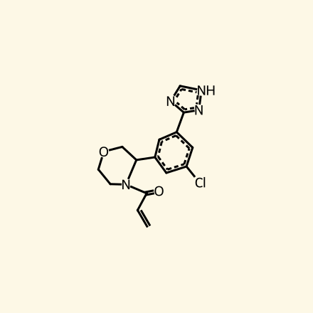 C=CC(=O)N1CCOCC1c1cc(Cl)cc(-c2nc[nH]n2)c1